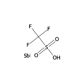 O=S(=O)(O)C(F)(F)F.[Sb]